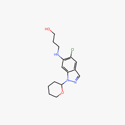 OCCCNc1cc2c(cnn2C2CCCCO2)cc1Cl